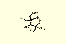 CC1(C)SSC(CO)(CO)C1O